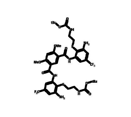 COc1cc(OC)c(C(=O)Nc2cc(C(F)(F)F)cc(N)c2SCCNC(=O)OC(C)(C)C)cc1C(=O)Nc1cc(C(F)(F)F)cc(N)c1SCCNC(=O)OC(C)(C)C